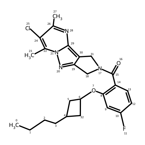 CCCCC1CC(Oc2cc(F)ccc2C(=O)N2Cc3nn4c(C)c(Cl)c(C)nc4c3C2)C1